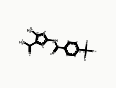 CC(=O)c1sc(NC(=O)c2ccc(C(F)(F)F)cc2)nc1C